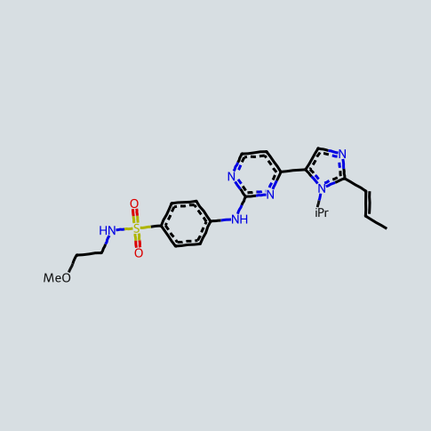 CC=Cc1ncc(-c2ccnc(Nc3ccc(S(=O)(=O)NCCOC)cc3)n2)n1C(C)C